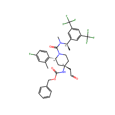 Cc1cc(F)ccc1[C@H]1C[C@@](CC=O)(NC(=O)OCc2ccccc2)CCN1C(=O)N(C)[C@H](C)c1cc(C(F)(F)F)cc(C(F)(F)F)c1